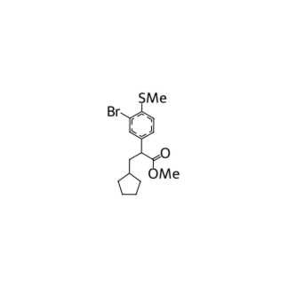 COC(=O)C(CC1CCCC1)c1ccc(SC)c(Br)c1